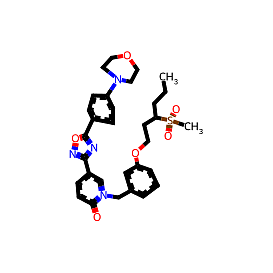 CCCC(CCOc1cccc(Cn2cc(-c3noc(-c4ccc(N5CCOCC5)cc4)n3)ccc2=O)c1)S(C)(=O)=O